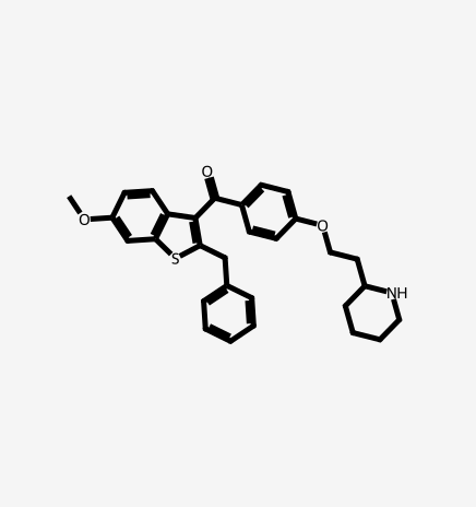 COc1ccc2c(C(=O)c3ccc(OCCC4CCCCN4)cc3)c(Cc3ccccc3)sc2c1